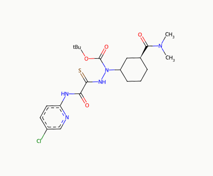 CN(C)C(=O)[C@H]1CCCC(N(NC(=S)C(=O)Nc2ccc(Cl)cn2)C(=O)OC(C)(C)C)C1